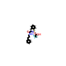 O=C(NCCCc1ccccc1)[C@H](Cc1ccccc1)N=S.O=C(O)C(F)(F)F